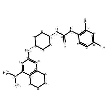 CN(C)c1nc(N[C@H]2CC[C@@H](NC(=S)Nc3ccc(F)cc3F)CC2)nc2c1CCCC2